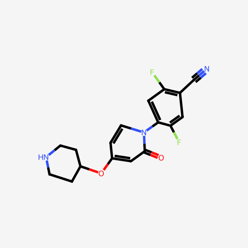 N#Cc1cc(F)c(-n2ccc(OC3CCNCC3)cc2=O)cc1F